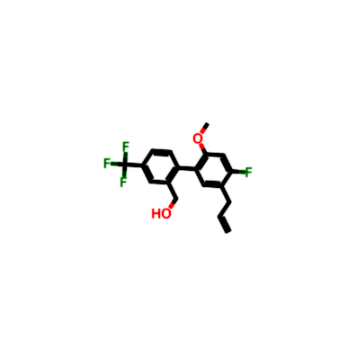 C=CCc1cc(-c2ccc(C(F)(F)F)cc2CO)c(OC)cc1F